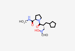 O=CN(O)C[C@@H](CC1CCCC1)C(=O)N1CCC[C@@H]1C(=O)NC(=O)O